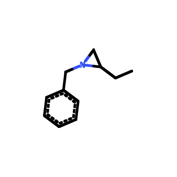 CCC1CN1Cc1ccccc1